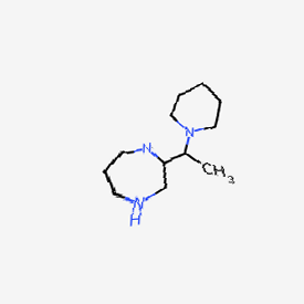 CC(C1CNCCC[N]1)N1CCCCC1